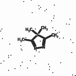 CC1=NN=C(C)S1(C)C